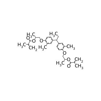 C=C(C)C(=O)OC(C)COc1ccc(C(CC)c2ccc(OCC(C)OC(=O)C(=C)C)c(C)c2)cc1C